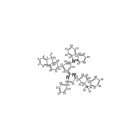 CC1(C)c2ccccc2-c2ccc(-c3cc(-c4nc(-c5ccccc5)cc(-c5ccc6c(c5)C(C)(C)c5ccccc5-6)n4)cc(-n4c5ccccc5c5ccccc54)c3)cc21